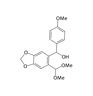 COc1ccc(C(O)c2cc3c(cc2C(OC)OC)OCO3)cc1